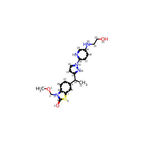 COCn1c(=O)sc2cc(C(C)c3ccn(-c4ccc(NCCO)cn4)n3)ccc21